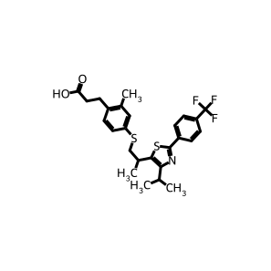 Cc1cc(SCC(C)c2sc(-c3ccc(C(F)(F)F)cc3)nc2C(C)C)ccc1CCC(=O)O